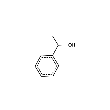 O[C](I)c1ccccc1